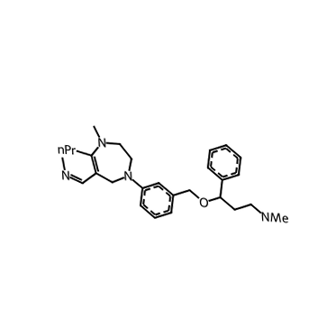 CCCC1=C(/C=N\C)CN(c2cccc(COC(CCNC)c3ccccc3)c2)CCN1C